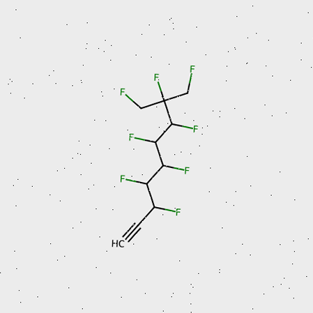 C#CC(F)C(F)C(F)C(F)C(F)C(F)(CF)CF